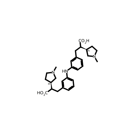 CN1CC[C@H](C(Cc2cccc(Nc3cccc(CC(C(=O)O)[C@H]4CCN(C)C4)c3)c2)C(=O)O)C1